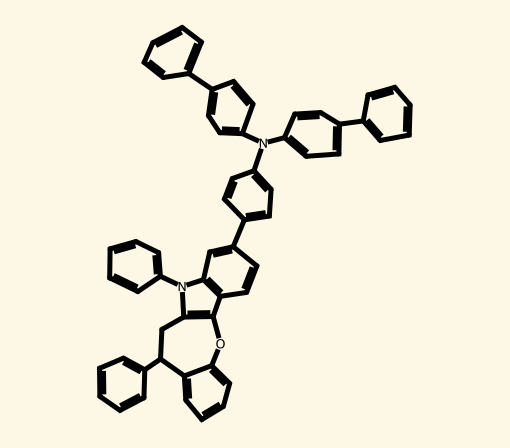 c1ccc(-c2ccc(N(c3ccc(-c4ccccc4)cc3)c3ccc(-c4ccc5c6c(n(-c7ccccc7)c5c4)CC(c4ccccc4)c4ccccc4O6)cc3)cc2)cc1